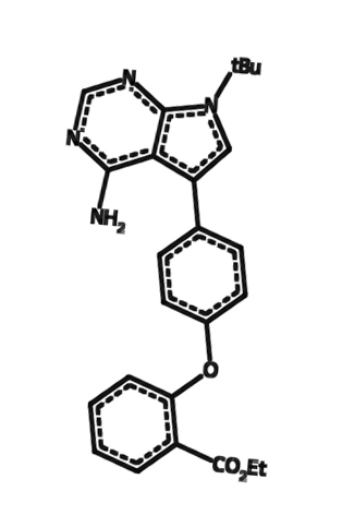 CCOC(=O)c1ccccc1Oc1ccc(-c2cn(C(C)(C)C)c3ncnc(N)c23)cc1